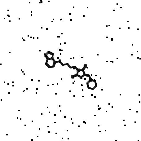 O=C1S/C(=C\N2CCCCC2)C(=O)N1CCCCSc1cccc2nccn12